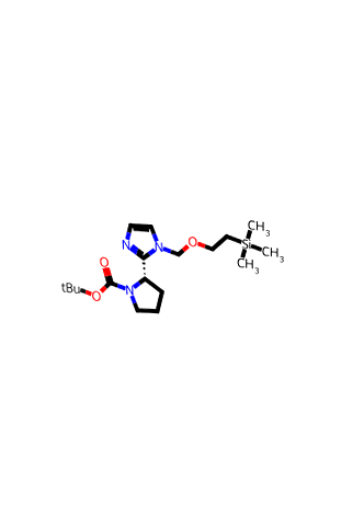 CC(C)(C)OC(=O)N1CCC[C@H]1c1nccn1COCC[Si](C)(C)C